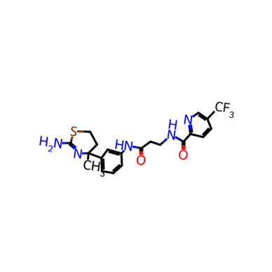 CC1(c2cccc(NC(=O)CCNC(=O)c3ccc(C(F)(F)F)cn3)c2)CCSC(N)=N1